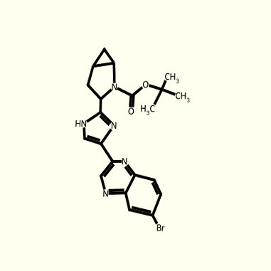 CC(C)(C)OC(=O)N1C(c2nc(-c3cnc4cc(Br)ccc4n3)c[nH]2)CC2CC21